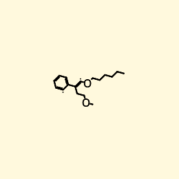 CCCCCCO[C]=C(CCOC)c1[c]cccc1